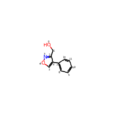 OCc1nocc1-c1ccccc1